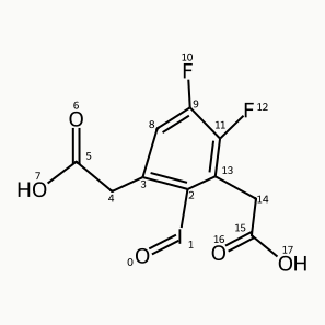 O=Ic1c(CC(=O)O)cc(F)c(F)c1CC(=O)O